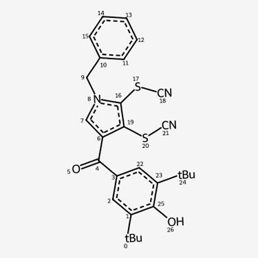 CC(C)(C)c1cc(C(=O)c2cn(Cc3ccccc3)c(SC#N)c2SC#N)cc(C(C)(C)C)c1O